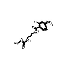 CCc1cc([N+](=O)[O-])ccc1C(=O)NCCCNC(=O)OC(C)(C)C